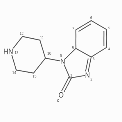 O=C1N=C2C=CC=CC2N1C1CCNCC1